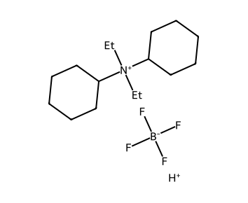 CC[N+](CC)(C1CCCCC1)C1CCCCC1.F[B-](F)(F)F.[H+]